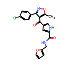 Cc1onc(-c2ccc(Cl)cc2)c1C(=O)c1c[nH]c(C(=O)NCc2ccco2)c1